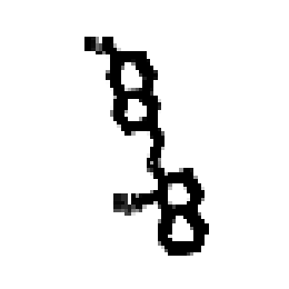 Bc1ccc2cc(COc3ccc4ccccc4c3N)ccc2c1